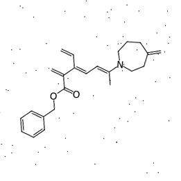 C=C/C(=C\C=C(/C)N1CCCC(=C)CC1)C(=C)C(=O)OCc1ccccc1